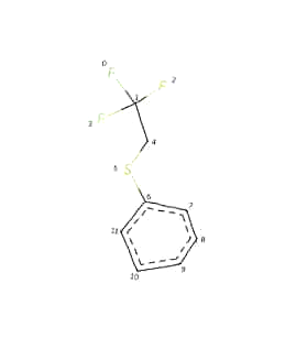 FC(F)(F)CSc1c[c]ccc1